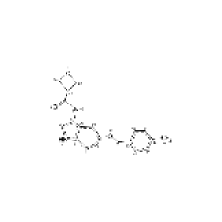 O=C(Nc1c[nH]c2ccc(OCc3ccc(C(F)(F)F)cc3)cc12)C1COC1